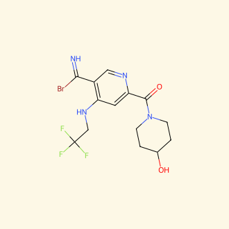 N=C(Br)c1cnc(C(=O)N2CCC(O)CC2)cc1NCC(F)(F)F